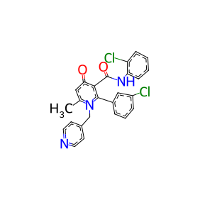 Cc1cc(=O)c(C(=O)Nc2ccccc2Cl)c(-c2cccc(Cl)c2)n1Cc1ccncc1